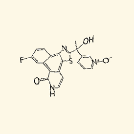 CC(O)(c1ccc[n+]([O-])c1)c1nc2c3ccc(F)cc3c3c(=O)[nH]ccc3c2s1